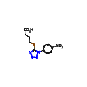 O=C(O)CCCSc1nnnn1-c1ccc([N+](=O)[O-])cc1